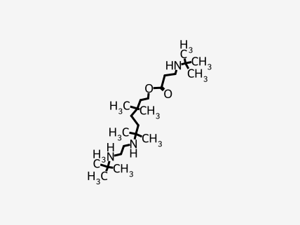 CC(C)(CCOC(=O)CCNC(C)(C)C)CCC(C)(C)NCCNC(C)(C)C